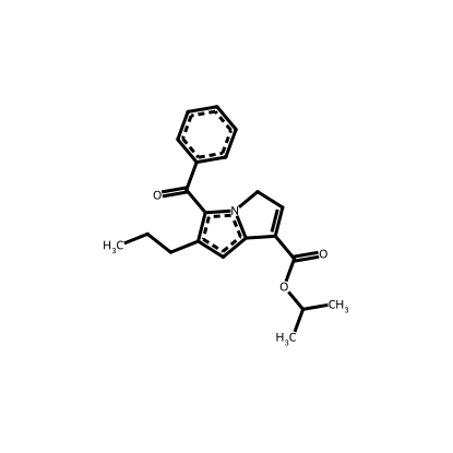 CCCc1cc2n(c1C(=O)c1ccccc1)CC=C2C(=O)OC(C)C